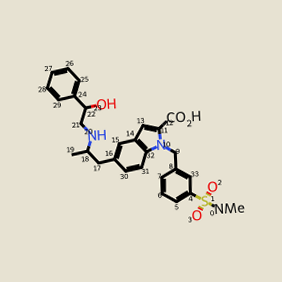 CNS(=O)(=O)c1cccc(Cn2c(C(=O)O)cc3cc(CC(C)NCC(O)c4ccccc4)ccc32)c1